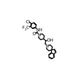 O=C(Nc1ccc(Cl)c(C(F)(F)F)c1)N1CCC(C(O)CN2CCC3(C=Cc4ccccc43)CC2)CC1